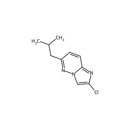 CC(C)Cc1ccc2nc(Cl)cn2n1